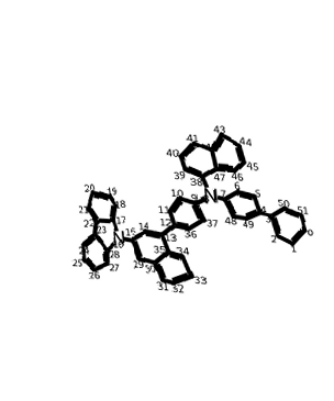 c1ccc(-c2ccc(N(c3ccc(-c4cc(-n5c6ccccc6c6ccccc65)cc5ccccc45)cc3)c3cccc4ccccc34)cc2)cc1